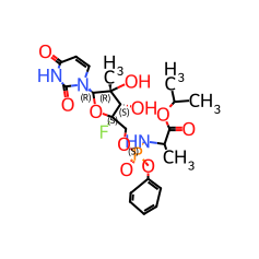 CC(C)OC(=O)C(C)N[P@](=O)(OC[C@@]1(F)O[C@@H](n2ccc(=O)[nH]c2=O)[C@](C)(O)[C@@H]1O)Oc1ccccc1